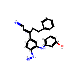 N=C/C=C(\CCc1ccccc1)c1ccc(N=N)c(Nc2cccc(O)c2)c1